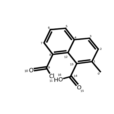 Cc1ccc2cccc(C(=O)Cl)c2c1C(=O)O